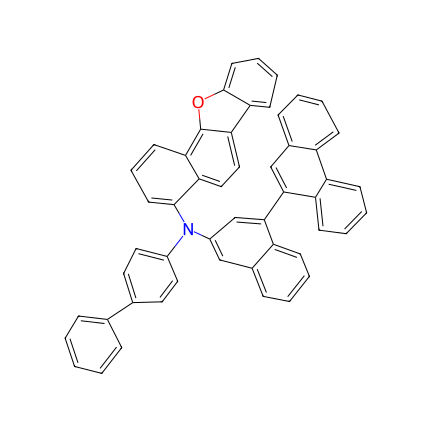 c1ccc(-c2ccc(N(c3cc(-c4cc5ccccc5c5ccccc45)c4ccccc4c3)c3cccc4c3ccc3c5ccccc5oc43)cc2)cc1